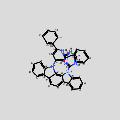 c1ccc(-c2cc(-n3c4ccccc4c4ccc5c6ccccc6n(-c6ncncn6)c5c43)cc(-c3ccccc3)n2)cc1